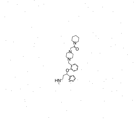 CNCCC(Oc1ccccc1CN1CCN(CC(=O)N2CCCCC2)CC1)c1cccs1